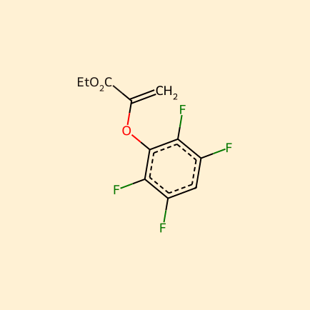 C=C(Oc1c(F)c(F)cc(F)c1F)C(=O)OCC